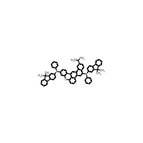 CC(C)c1ccc2c(N(c3ccccc3)c3ccc4c(c3)C(C)(C)c3ccccc3-4)cc3c4cccc5c4c(cc3c2c1)-c1ccc(N(c2ccccc2)c2ccc3c(c2)C(C)(C)c2ccccc2-3)cc1O5